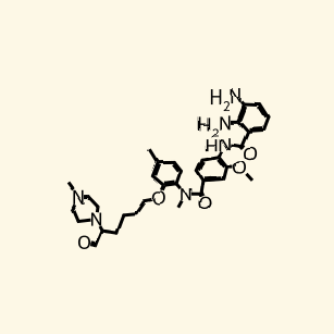 COc1cc(C(=O)N(C)c2ccc(C)cc2OCCCCC(C=O)N2CCN(C)CC2)ccc1NC(=O)c1cccc(N)c1N